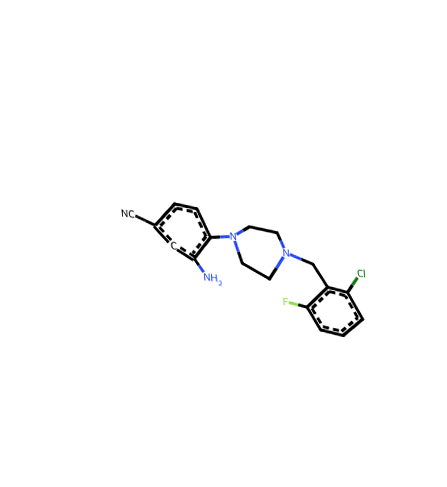 N#Cc1ccc(N2CCN(Cc3c(F)cccc3Cl)CC2)c(N)c1